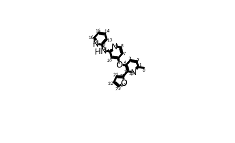 Cc1ccc(Oc2ccnc(Nc3ccccn3)c2)c(-c2ccco2)n1